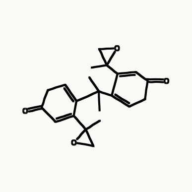 CC1(C2=CC(=O)CC=C2C(C)(C)C2=CCC(=O)C=C2C2(C)CO2)CO1